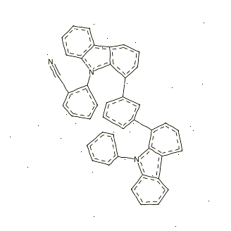 N#Cc1ccccc1-n1c2ccccc2c2cccc(-c3cccc(-c4cccc5c6ccccc6n(-c6ccccc6)c45)c3)c21